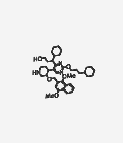 COc1cc(COC2CNCCC2c2cnc(OCCCC3CCCCC3)nc2C(CCO)C2CCCCC2)c(OC)c2ccccc12